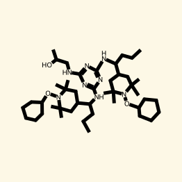 CCCC(Nc1nc(NCC(C)O)nc(NC(CCC)C2CC(C)(C)N(OC3CCCCC3)C(C)(C)C2)n1)C1CC(C)(C)N(OC2CCCCC2)C(C)(C)C1